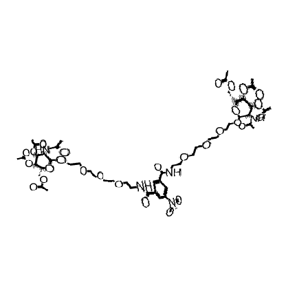 CC(=O)N[C@H]1C(OCCOCCOCCOCCNC(=O)c2cc(C(=O)NCCOCCOCCOCCOC3O[C@H](COC(C)=O)[C@H](OC(C)=O)[C@H](OC(C)=O)[C@H]3NC(C)=O)cc([N+](=O)[O-])c2)O[C@H](COC(C)=O)[C@H](OC(C)=O)[C@@H]1OC(C)=O